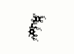 CCn1c(CNC(=O)c2nc(Cl)c(N)nc2N)nc2cc(F)c(C(=O)OC)cc21